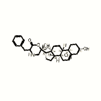 C[C@]12CC[C@H]3[C@@H](CC=C4C[C@@H](O)CC[C@@]43C)[C@@H]1CC[C@@H]2[C@]1(C)CNC(Cc2ccccc2)C(=O)O1